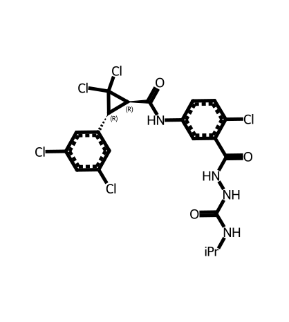 CC(C)NC(=O)NNC(=O)c1cc(NC(=O)[C@H]2[C@H](c3cc(Cl)cc(Cl)c3)C2(Cl)Cl)ccc1Cl